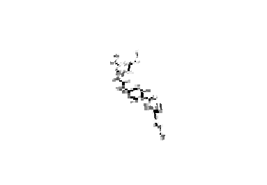 CCCCC(=O)CC(=O)c1ccc(CCCN(CCCC)CCCC)cc1